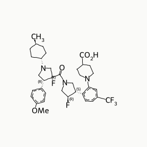 COc1ccc([C@@H]2CN([C@H]3CC[C@H](C)CC3)C[C@@]2(F)C(=O)N2C[C@H](c3ccc(C(F)(F)F)cc3N3CCC(C(=O)O)CC3)[C@@H](F)C2)cc1